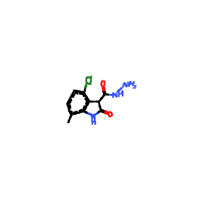 Cc1ccc(Cl)c2c1NC(=O)C2C(=O)NN